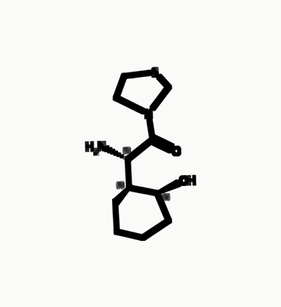 N[C@H](C(=O)N1CCSC1)[C@@H]1CCCC[C@@H]1O